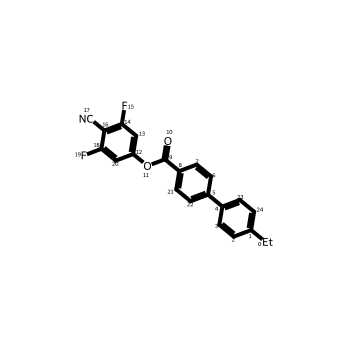 CCc1ccc(-c2ccc(C(=O)Oc3cc(F)c(C#N)c(F)c3)cc2)cc1